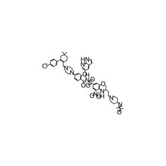 CC1(C)CCC(CN2CCN(c3ccc(C(=O)NS(=O)(=O)c4cc5c(c([N+](=O)[O-])c4)NC(CCN4CCC(N=S(C)(C)=O)CC4)CO5)c(Oc4cnc5[nH]ccc5c4)c3)CC2)=C(c2ccc(Cl)cc2)C1